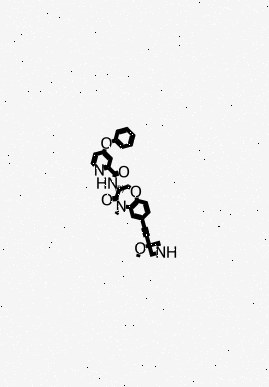 COC1(C#Cc2ccc3c(c2)N(C)C(=O)[C@H](NC(=O)c2cc(Oc4ccccc4)ccn2)CO3)CNC1